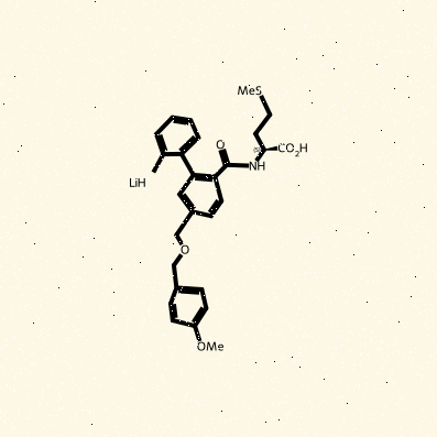 COc1ccc(COCc2ccc(C(=O)N[C@@H](CCSC)C(=O)O)c(-c3ccccc3C)c2)cc1.[LiH]